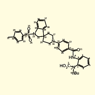 CCCCN(C(=O)O)c1ccccc1NC(=O)c1ccc(N2CCC3(CC2)CN(S(=O)(=O)c2ccc(C)cc2)c2ccccc23)nc1